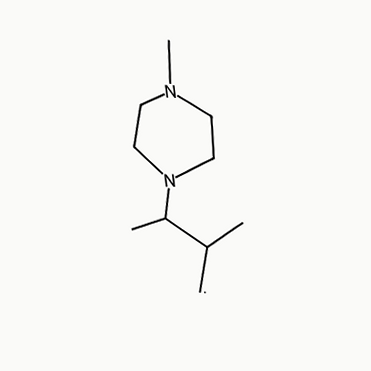 [CH2]C(C)C(C)N1CCN(C)CC1